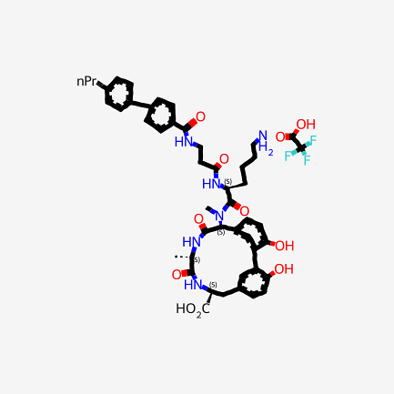 CCCc1ccc(-c2ccc(C(=O)NCCC(=O)N[C@@H](CCCCN)C(=O)N(C)[C@@H]3C(=O)N[C@@H](C)C(=O)N[C@H](C(=O)O)Cc4ccc(O)c(c4)-c4cc3ccc4O)cc2)cc1.O=C(O)C(F)(F)F